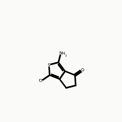 Nc1sc(Cl)c2c1C(=O)CC2